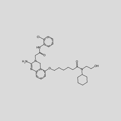 NC1=Nc2cccc(OCCCCCC(=O)N(CCO)C3CCCCC3)c2CN1CC(=O)Nc1ccccc1Cl